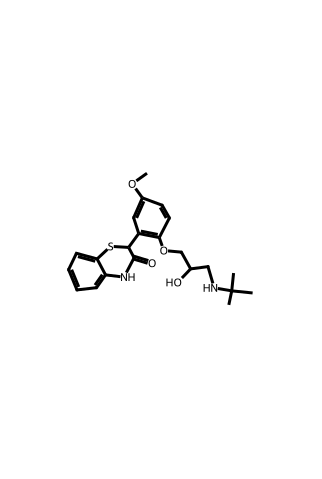 COc1ccc(OCC(O)CNC(C)(C)C)c(C2Sc3ccccc3NC2=O)c1